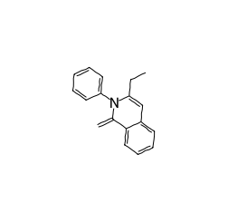 C=C1c2ccccc2C=C(CC)N1c1ccccc1